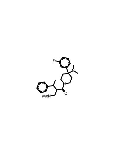 CNCC(C(=O)N1CCC(c2cccc(F)c2)(N(C)C)CC1)C(C)c1ccccc1